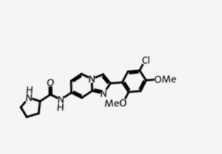 COc1cc(OC)c(-c2cn3ccc(NC(=O)C4CCCN4)cc3n2)cc1Cl